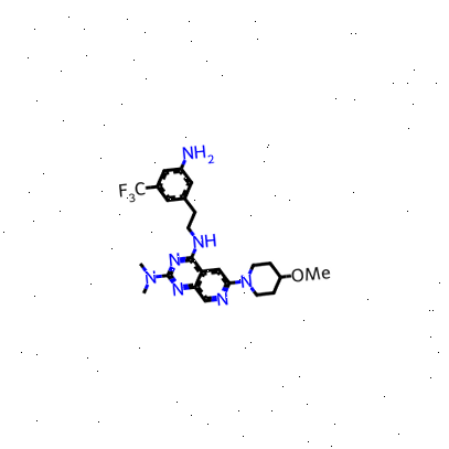 COC1CCN(c2cc3c(NCCc4cc(N)cc(C(F)(F)F)c4)nc(N(C)C)nc3cn2)CC1